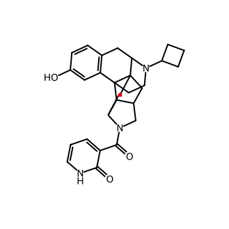 O=C(c1ccc[nH]c1=O)N1CC2CC34CCC1C2C31CCN(C2CCC2)C4Cc2ccc(O)cc21